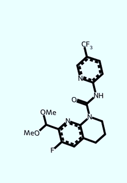 COC(OC)c1nc2c(cc1F)CCCN2C(=O)Nc1ccc(C(F)(F)F)cn1